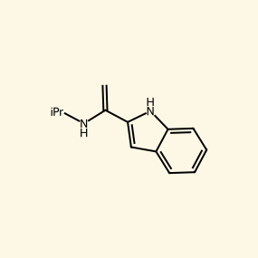 C=C(NC(C)C)c1cc2ccccc2[nH]1